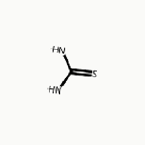 [NH]C([NH])=S